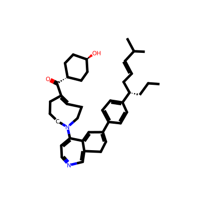 CCC[C@@H](C/C=C/C(C)C)c1ccc(C2=CCC3=CN=CC=C(N4CC/C=C(\C(=O)[C@H]5CC[C@H](O)CC5)CCC4)C3=C2)cc1